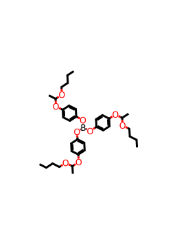 CCCCOC(C)Oc1ccc(OB(Oc2ccc(OC(C)OCCCC)cc2)Oc2ccc(OC(C)OCCCC)cc2)cc1